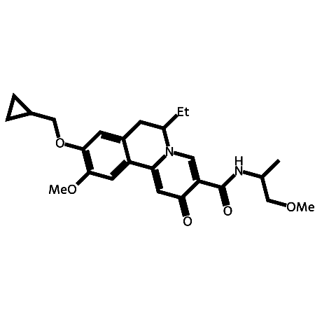 CCC1Cc2cc(OCC3CC3)c(OC)cc2-c2cc(=O)c(C(=O)NC(C)COC)cn21